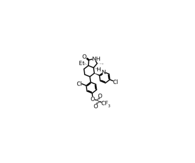 CC[C@@]12CCC(c3ccc(OS(=O)(=O)C(F)(F)F)cc3Cl)[C@H](c3ccc(Cl)cn3)[C@@H]1[C@@H](C)NC2=O